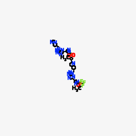 CCP(=O)(Cn1cc(-c2cnc3nnn(Cc4ccc5nc(C6CC(P(=O)(Cn7cc(-c8cnc9nnn(Cc%10ccc%11nccn%11c%10)c9n8)cn7)OC)C6)ccc5c4)c3n2)cn1)C(F)(F)F